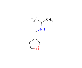 CC(C)NCC1CCOC1